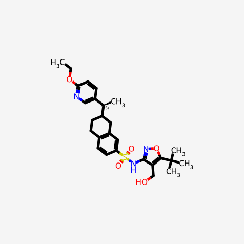 CCOc1ccc([C@@H](C)C2CCc3ccc(S(=O)(=O)Nc4noc(C(C)(C)C)c4CO)cc3C2)cn1